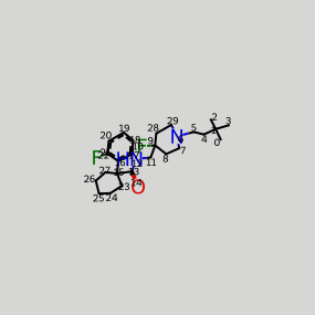 CC(C)(C)CCN1CCC(F)(CNC(=O)C2(c3ccccc3F)CCCCC2)CC1